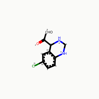 O=CC(=O)C1NCNc2ccc(Cl)cc21